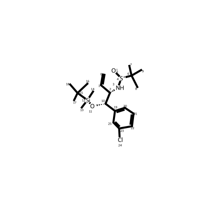 C=C[C@H](N[S+]([O-])C(C)(C)C)[C@@H](O[Si](C)(C)C(C)(C)C)c1cccc(Cl)c1